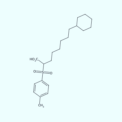 Cc1ccc(S(=O)(=O)C(CCCCCCC2CCCCC2)C(=O)O)cc1